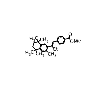 CCC(=Cc1ccc(C(=O)OC)cc1)c1cc2c(cc1C)C(C)(C)CCC2(C)C